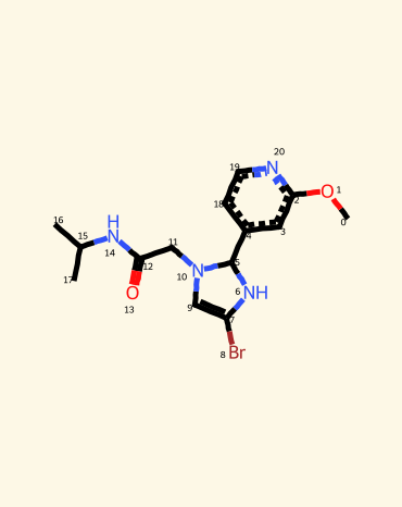 COc1cc(C2NC(Br)=CN2CC(=O)NC(C)C)ccn1